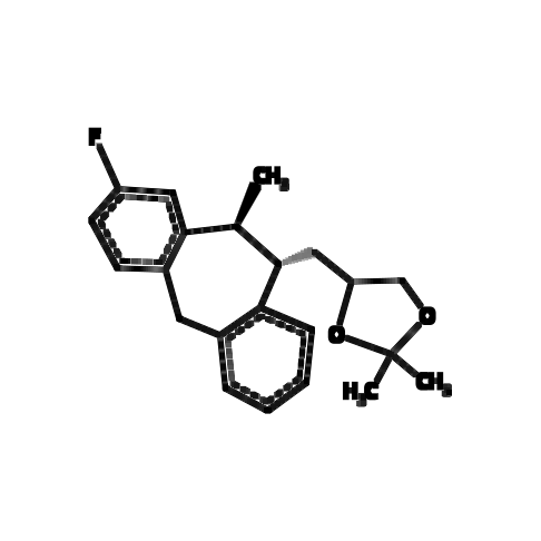 C[C@@H]1c2cc(F)ccc2Cc2ccccc2[C@H]1CC1COC(C)(C)O1